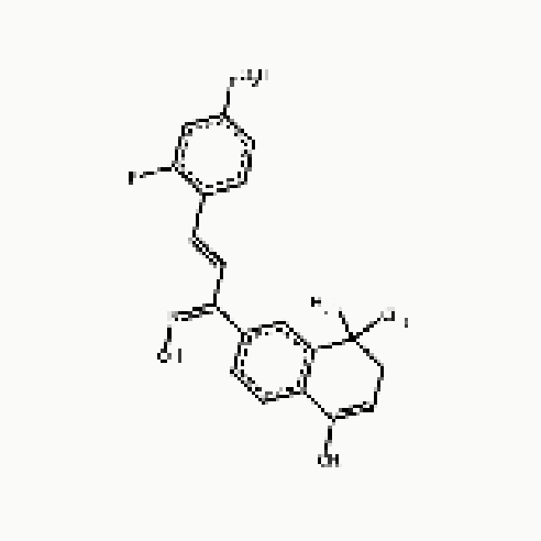 CC1=CCC(C)(C)c2cc(C(/C=C/c3ccc(C(=O)O)cc3F)=N\O)ccc21